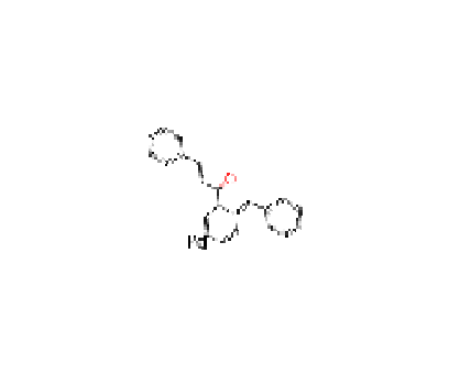 O=C(C=Cc1ccccc1)C1C=CC=CC1=Cc1ccccc1.[Pd]